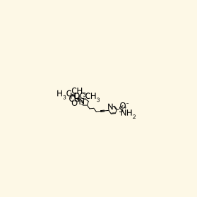 CC(C)(C)OC(=O)N1CC(CCCC#Cc2ccc([S+](N)[O-])cn2)CC1(C)C